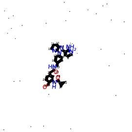 Nc1ncccc1-c1nc2cccnc2n1-c1ccc(CNC(=O)Cc2ccc(C=O)c(NC(=O)C3CC3)c2)cc1